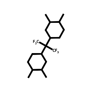 CC1CCC(C(C2CCC(C)C(C)C2)(C(F)(F)F)C(F)(F)F)CC1C